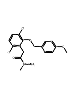 COc1ccc(COc2c(Cl)ccc(Cl)c2CC(=O)N(C)N)cc1